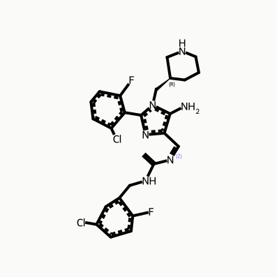 C=C(/N=C\c1nc(-c2c(F)cccc2Cl)n(C[C@@H]2CCCNC2)c1N)NCc1cc(Cl)ccc1F